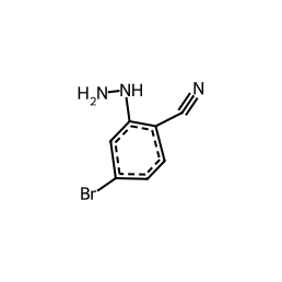 N#Cc1ccc(Br)cc1NN